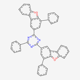 c1ccc(-c2nc(-c3cc(-c4ccccc4)c4oc5ccccc5c4c3)nc(-c3cc(-c4ccccc4)c4oc5ccccc5c4c3)n2)cc1